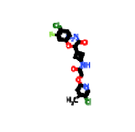 Cc1cc(OCC(=O)NC23CC(C(Oc4ccc(Cl)c(F)c4)C(N)=O)(C2)C3)ncc1Cl